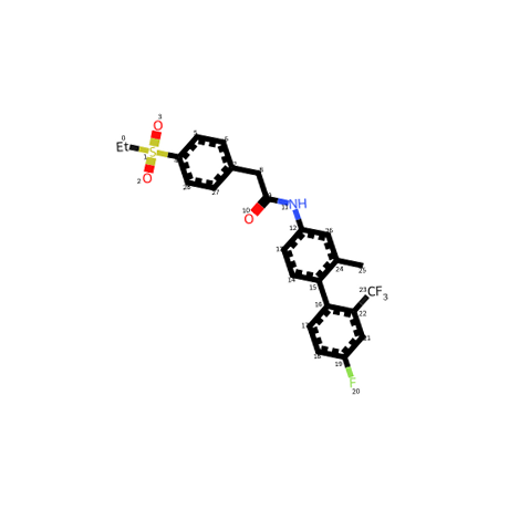 CCS(=O)(=O)c1ccc(CC(=O)Nc2ccc(-c3ccc(F)cc3C(F)(F)F)c(C)c2)cc1